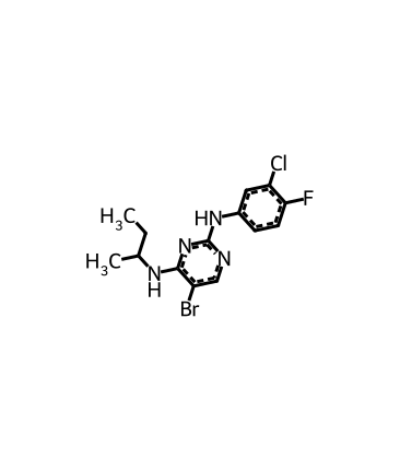 CCC(C)Nc1nc(Nc2ccc(F)c(Cl)c2)ncc1Br